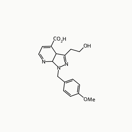 COc1ccc(CN2N=C(CCO)C3C(C(=O)O)=CC=NC32)cc1